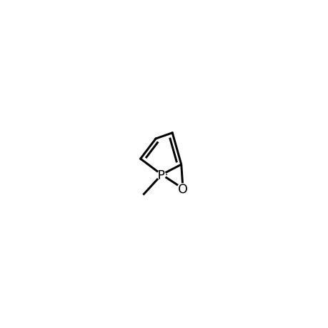 C[P]12C=CC=C1O2